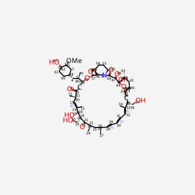 CO[C@@H]1C[C@H](C[C@@H](C)[C@@H]2CC(=O)[C@H](C)/C=C(\C)[C@@H](O)[C@@H](CO)C(=O)[C@H](C)C[C@H](C)/C=C/C=C/C=C(\C)[C@@H](CO)C[C@@H]3CC[C@@H](C)[C@@](O)(O3)C(=O)C(=O)N3CCCC[C@H]3C(=O)O2)CC[C@H]1O